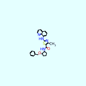 Cc1nc(Nc2cccc3cccnc23)sc1C(=O)N[C@H]1CCC[C@@H]1OCc1ccccc1